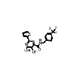 O=C(NCc1ccc(C(F)(F)F)cc1)c1nc(-c2cccs2)nc(O)c1O